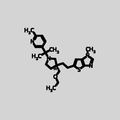 CCOC[C@@]1(CCc2cc3c(ncn3C)s2)CCN(C(C)(C)c2ccc(C)nc2)C1